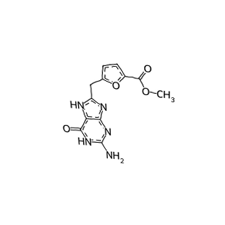 COC(=O)c1ccc(Cc2nc3nc(N)[nH]c(=O)c3[nH]2)o1